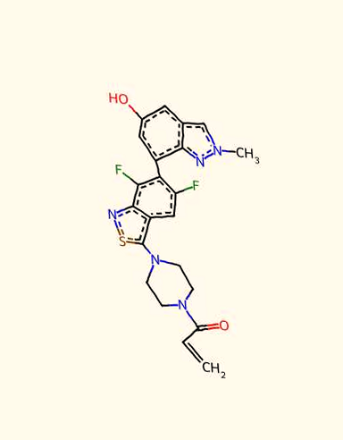 C=CC(=O)N1CCN(c2snc3c(F)c(-c4cc(O)cc5cn(C)nc45)c(F)cc23)CC1